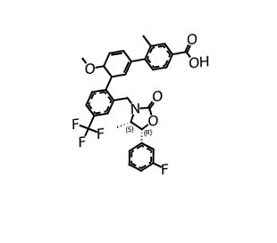 COC1C=CC(c2ccc(C(=O)O)cc2C)=CC1c1ccc(C(F)(F)F)cc1CN1C(=O)O[C@H](c2cccc(F)c2)[C@@H]1C